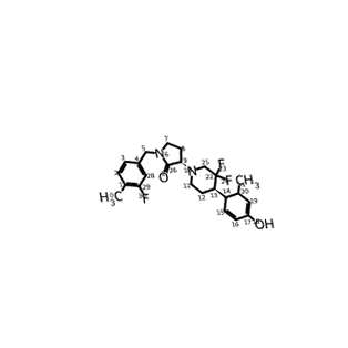 Cc1ccc(CN2CC[C@H](N3CC[C@H](C4C=CC(O)=CC4C)C(F)(F)C3)C2=O)cc1F